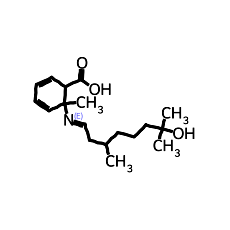 CC(C/C=N/C1(C)C=CC=CC1C(=O)O)CCCC(C)(C)O